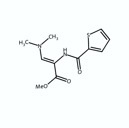 COC(=O)/C(=C/N(C)C)NC(=O)c1cccs1